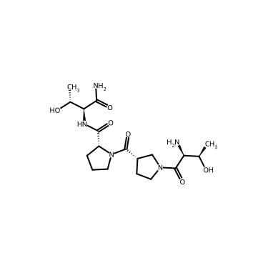 C[C@@H](O)[C@H](N)C(=O)N1CC[C@H](C(=O)N2CCC[C@@H]2C(=O)N[C@H](C(N)=O)[C@@H](C)O)C1